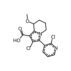 COC1CCCn2c(-c3cccnc3Cl)c(Cl)c(C(=O)O)c21